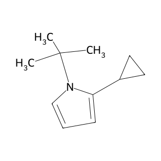 CC(C)(C)n1cccc1C1CC1